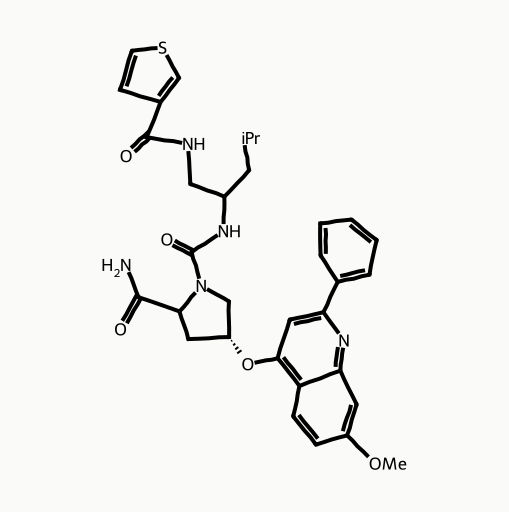 COc1ccc2c(O[C@@H]3CC(C(N)=O)N(C(=O)NC(CNC(=O)c4ccsc4)CC(C)C)C3)cc(-c3ccccc3)nc2c1